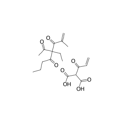 C=C(C)C(=O)C(CC)(C(C)=O)C(=O)CCC.C=CC(=O)C(C(=O)O)C(=O)O